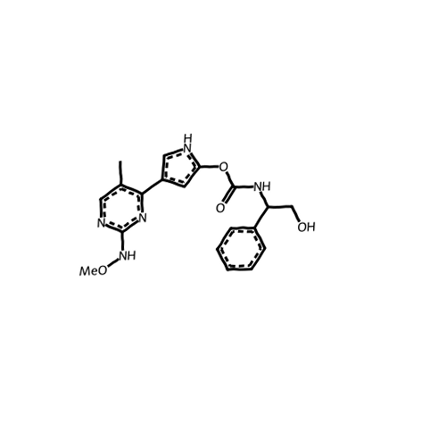 CONc1ncc(C)c(-c2c[nH]c(OC(=O)NC(CO)c3ccccc3)c2)n1